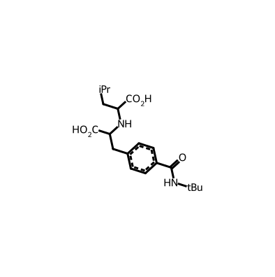 CC(C)CC(NC(Cc1ccc(C(=O)NC(C)(C)C)cc1)C(=O)O)C(=O)O